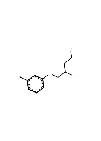 CCCCCCCCC(CCC(C)CC)COc1cccc(C)c1